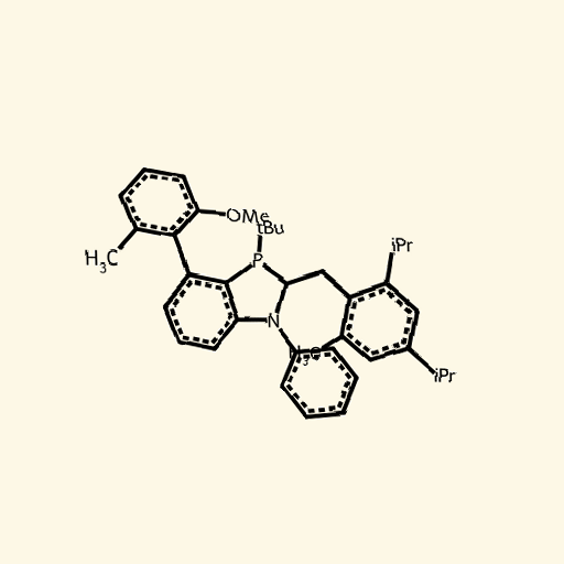 COc1cccc(C)c1-c1cccc2c1P(C(C)(C)C)C(Cc1c(C)cc(C(C)C)cc1C(C)C)N2c1ccccc1